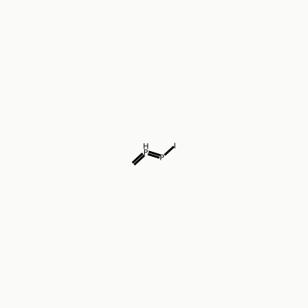 C=[PH]=PI